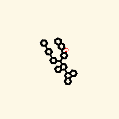 c1ccc(-c2ccc(-c3cccc(C(c4ccc5oc6cc7ccccc7cc6c5c4)c4ccc(-c5cc6ccccc6c6ccccc56)c5ccccc45)c3)cc2)cc1